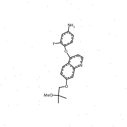 COC(C)(C)COc1ccc2c(Oc3ccc(N)cc3F)ccnc2c1